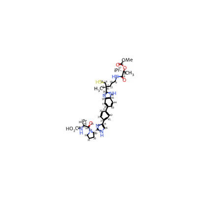 COC(=O)O[C@@](C)(C(=O)NCCC[C@@](C)(CS)c1nc2cc(-c3ccc(-c4c[nH]c([C@@H]5CCCN5C(=O)[C@@H](NC(=O)O)C(C)C)n4)cc3)ccc2[nH]1)C(C)C